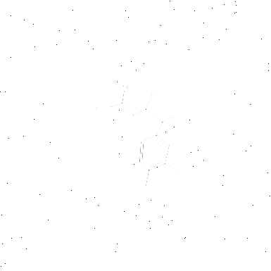 Cc1ccc(C(C)C(C)CC(N)C(=O)O)cc1C